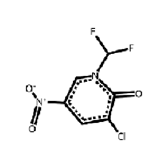 O=c1c(Cl)cc([N+](=O)[O-])cn1C(F)F